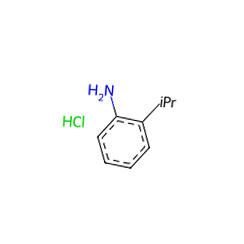 CC(C)c1ccccc1N.Cl